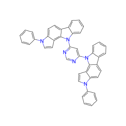 c1ccc(-n2ccc3c2ccc2c4ccccc4n(-c4cc(-n5c6ccccc6c6ccc7c(ccn7-c7ccccc7)c65)ncn4)c23)cc1